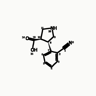 N#Cc1ccccc1[C@H]1CNC[C@@H]1C(=O)O